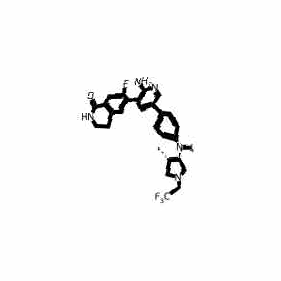 C[C@H]1CN(CC(F)(F)F)C[C@H]1N(I)c1ccc(-c2cnc(N)c(-c3cc4c(cc3F)C(=O)NCC4)c2)cc1